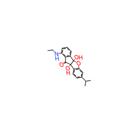 CCNc1cccc2c1C(=O)C1(O)c3ccc(C(C)C)cc3OC21O